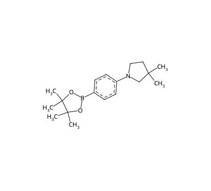 CC1(C)CCN(c2ccc(B3OC(C)(C)C(C)(C)O3)cc2)C1